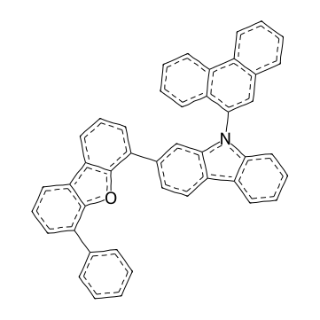 c1ccc(-c2cccc3c2oc2c(-c4ccc5c6ccccc6n(-c6cc7ccccc7c7ccccc67)c5c4)cccc23)cc1